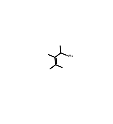 CNC(C)C(C)=C(C)C